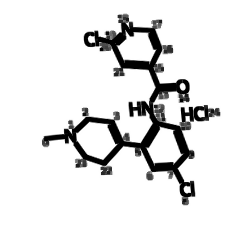 CN1CC=C(c2cc(Cl)ccc2NC(=O)c2ccnc(Cl)c2)CC1.Cl